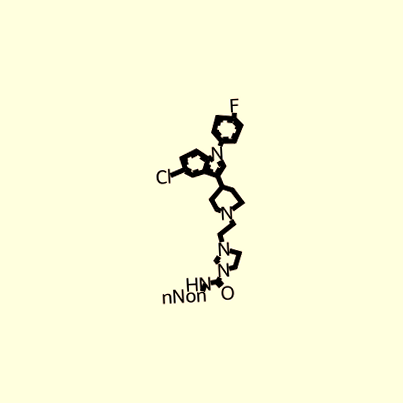 CCCCCCCCCNC(=O)N1CCN(CCN2CCC(c3cn(-c4ccc(F)cc4)c4ccc(Cl)cc34)CC2)C1